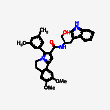 COc1cc2c(cc1OC)-c1cc(C(=O)N[C@@H](CO)Cc3c[nH]c4ccccc34)c(-c3cc(C)cc(C)c3)n1CC2